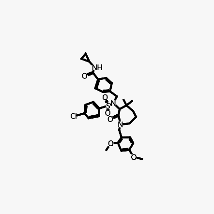 COc1ccc(CN2CCCC(C)(C)C(N(Cc3ccc(C(=O)NC4CC4)cc3)S(=O)(=O)c3ccc(Cl)cc3)C2=O)c(OC)c1